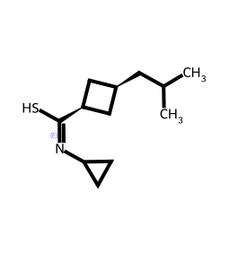 CC(C)C[C@H]1C[C@@H](/C(S)=N\C2CC2)C1